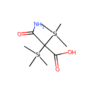 C[Si](C)(C)C(C(N)=O)(C(=O)O)[Si](C)(C)C